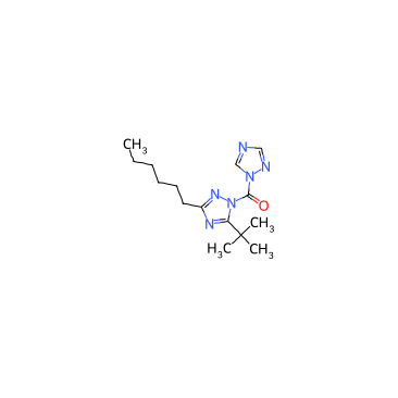 CCCCCCc1nc(C(C)(C)C)n(C(=O)n2cncn2)n1